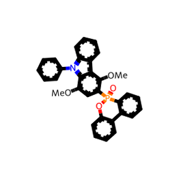 COc1c(P2(=O)Oc3ccccc3-c3ccccc32)cc(OC)c2c1c1ccccc1n2-c1ccccc1